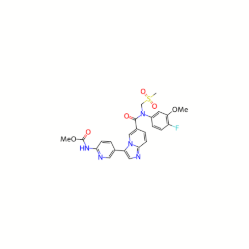 COC(=O)Nc1ccc(-c2cnc3ccc(C(=O)N(CS(C)(=O)=O)c4ccc(F)c(OC)c4)cn23)cn1